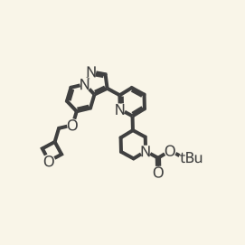 CC(C)(C)OC(=O)N1CCCC(c2cccc(-c3cnn4ccc(OCC5COC5)cc34)n2)C1